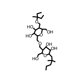 CCCC(C)(C)CC1OC(CO)C(COCC2OC(CO)C(COC(C)(CC)CC)C(O)C2O)C(O)C1O